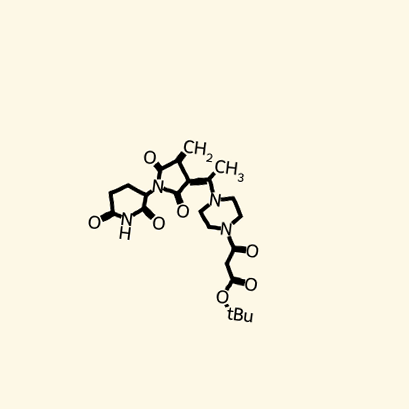 C=C1C(=O)N(C2CCC(=O)NC2=O)C(=O)/C1=C(/C)N1CCN(C(=O)CC(=O)OC(C)(C)C)CC1